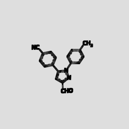 Cc1ccc(-n2nc(C=O)cc2-c2ccc(C#N)cc2)cc1